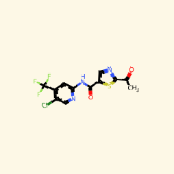 CC(=O)c1ncc(C(=O)Nc2cc(C(F)(F)F)c(Cl)cn2)s1